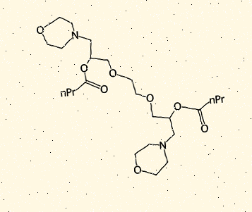 CCCC(=O)OC(COCCOCC(CN1CCOCC1)OC(=O)CCC)CN1CCOCC1